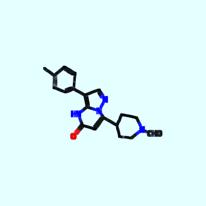 Cc1ccc(-c2cnn3c(C4CCN(C=O)CC4)cc(=O)[nH]c23)cc1